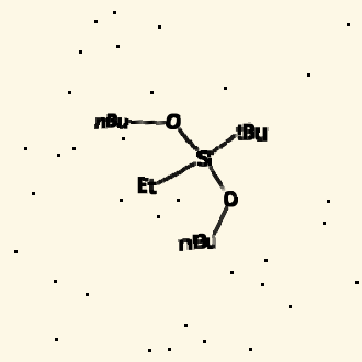 CCCCO[Si](CC)(OCCCC)C(C)(C)C